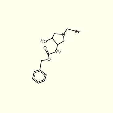 C[C](C)CN1CC(O)C(NC(=O)OCc2ccccc2)C1